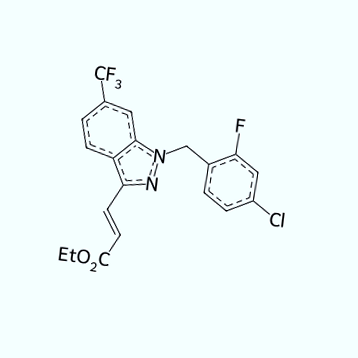 CCOC(=O)/C=C/c1nn(Cc2ccc(Cl)cc2F)c2cc(C(F)(F)F)ccc12